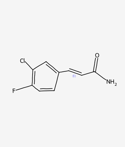 NC(=O)/C=C/c1ccc(F)c(Cl)c1